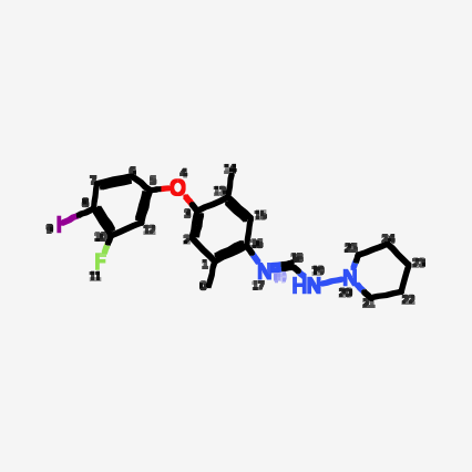 Cc1cc(Oc2ccc(I)c(F)c2)c(C)cc1/N=C/NN1CCCCC1